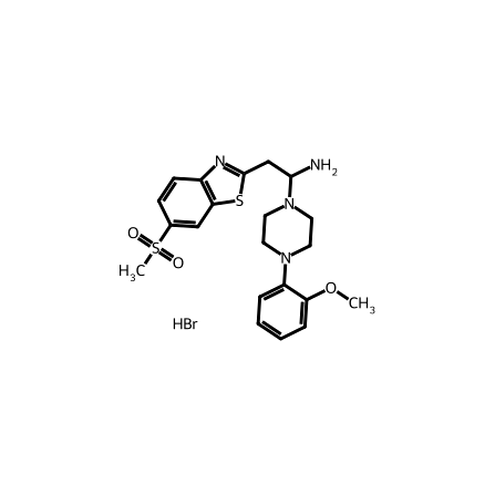 Br.COc1ccccc1N1CCN(C(N)Cc2nc3ccc(S(C)(=O)=O)cc3s2)CC1